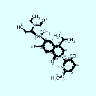 CCN(C=O)/C(CO)=N\N(C)c1cc2c(C(C)C)cn(-c3nc(OC)ccc3Cl)c(=O)c2cc1F